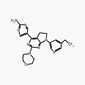 Nc1ncc(-c2nc(N3CCOCC3)nc3c2CCN3c2cncc(CC(F)(F)F)c2)cn1